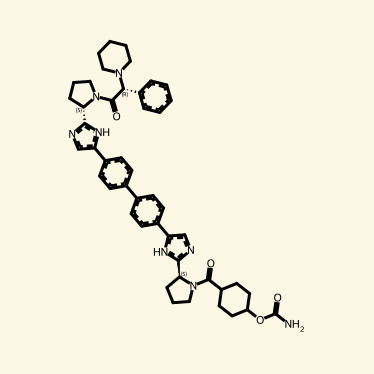 NC(=O)OC1CCC(C(=O)N2CCC[C@H]2c2ncc(-c3ccc(-c4ccc(-c5cnc([C@@H]6CCCN6C(=O)[C@@H](c6ccccc6)N6CCCCC6)[nH]5)cc4)cc3)[nH]2)CC1